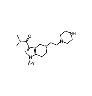 CCCn1nc(C(=O)N(C)C)c2c1CCN(CCN1CCNCC1)C2